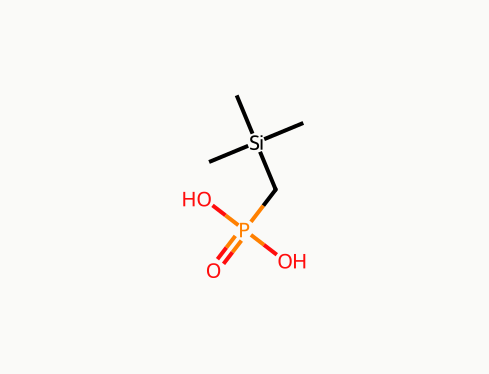 C[Si](C)(C)CP(=O)(O)O